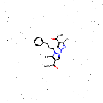 COC(=O)c1c[nH]nc1C(C)C.COC(=O)c1cnn(CCCc2ccccc2)c1C(C)C